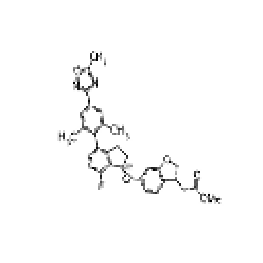 COC(=O)CC1COc2cc(O[C@@H]3CCc4c(-c5c(C)cc(-c6noc(C)n6)cc5C)ccc(F)c43)ccc21